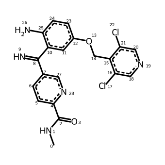 CNC(=O)c1ccc(C(=N)c2cc(OCc3c(Cl)cncc3Cl)ccc2N)cn1